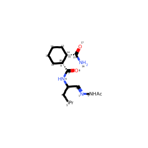 CC(=O)NN=CC(CC(C)C)NC(=O)[C@@H]1CCCC[C@@H]1C(N)=O